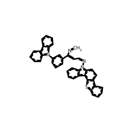 C=N/C(=C\C=N/n1c2ccccc2c2c3sc4ccccc4c3ccc21)c1cccc(-n2c3ccccc3c3ccccc32)c1